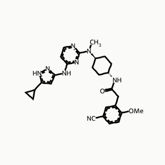 COc1ccc(C#N)cc1CC(=O)N[C@H]1CC[C@H](N(C)c2nccc(Nc3cc(C4CC4)[nH]n3)n2)CC1